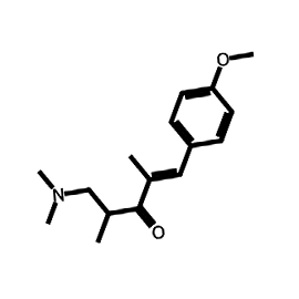 COc1ccc(/C=C(\C)C(=O)C(C)CN(C)C)cc1